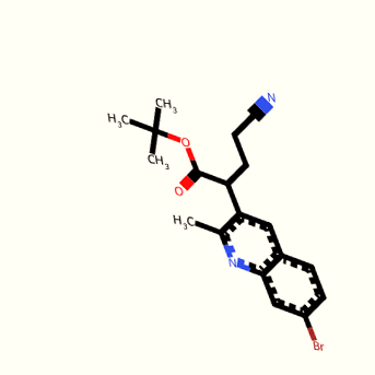 Cc1nc2cc(Br)ccc2cc1C(CCC#N)C(=O)OC(C)(C)C